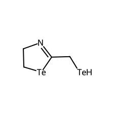 [TeH]CC1=NCC[Te]1